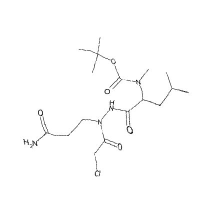 CC(C)CC(C(=O)NN(CCC(N)=O)C(=O)CCl)N(C)C(=O)OC(C)(C)C